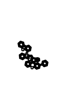 c1ccc(-c2ccc3c(c2)C2(c4ccccc4O3)c3ccccc3-c3cc4c(cc32)c2ccccc2n4-c2cccc3c2oc2ccccc23)cc1